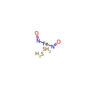 O=[N][Fe][N]=O.S.S